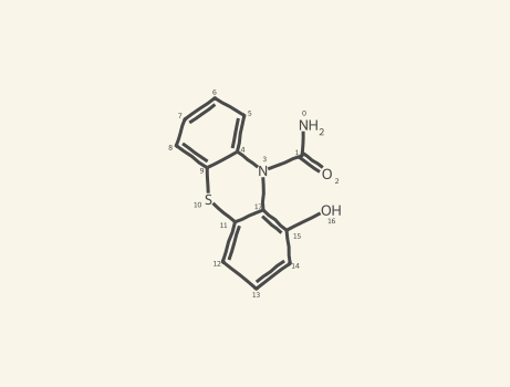 NC(=O)N1c2ccccc2Sc2cccc(O)c21